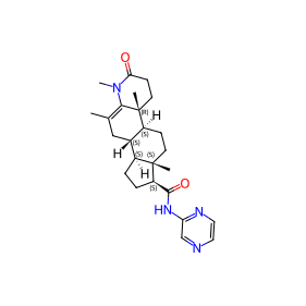 CC1=C2N(C)C(=O)CC[C@]2(C)[C@H]2CC[C@]3(C)[C@@H](C(=O)Nc4cnccn4)CC[C@H]3[C@@H]2C1